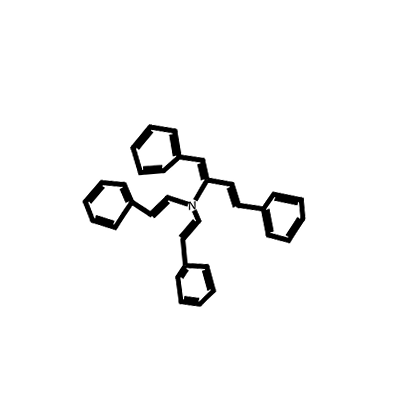 C(=Cc1ccccc1)C(=Cc1ccccc1)N(C=Cc1ccccc1)C=Cc1ccccc1